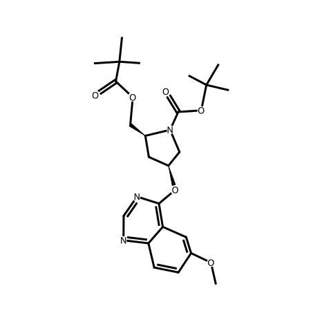 COc1ccc2ncnc(O[C@H]3C[C@@H](COC(=O)C(C)(C)C)N(C(=O)OC(C)(C)C)C3)c2c1